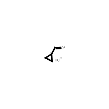 Cl.O=CC1CC1